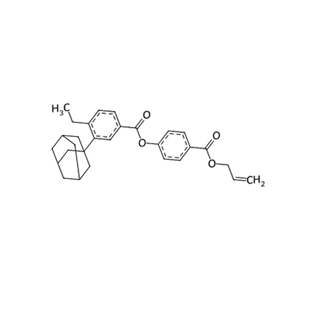 C=CCOC(=O)c1ccc(OC(=O)c2ccc(CC)c(C34CC5CC(CC(C5)C3)C4)c2)cc1